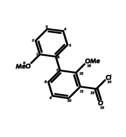 COc1ccccc1-c1cccc(C(=O)Cl)c1OC